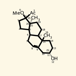 COC1(C(C)=O)CCC2C3CC=C4C[C@@H](O)CCC4(C)C3CC[C@@]21C